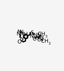 Cc1nc(C)c(C(=O)Nc2nc(-c3ccc4c(c3)CCC(=O)N4Cc3nnn[nH]3)cs2)o1